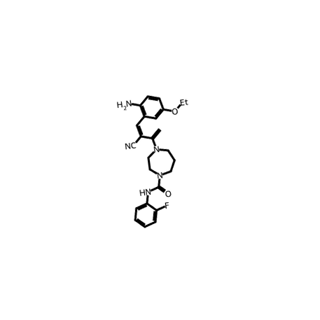 C=C(/C(C#N)=C\c1cc(OCC)ccc1N)N1CCCN(C(=O)Nc2ccccc2F)CC1